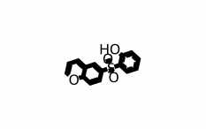 O=S(=O)(C1=CC2=CC=COC2C=C1)c1ccccc1O